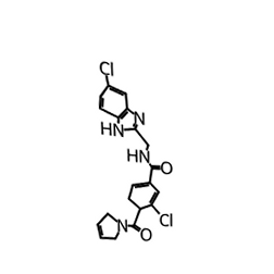 O=C(NCc1nc2cc(Cl)ccc2[nH]1)C1=CCC(C(=O)N2CC=CC2)C(Cl)=C1